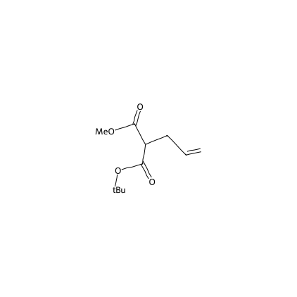 C=CCC(C(=O)OC)C(=O)OC(C)(C)C